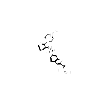 CC(C)N1CCN(c2ncccc2NS(=O)(=O)c2ccc3cc(C(=O)NO)oc3c2)CC1